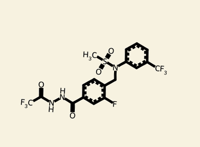 CS(=O)(=O)N(Cc1ccc(C(=O)NNC(=O)C(F)(F)F)cc1F)c1cccc(C(F)(F)F)c1